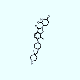 O=C1CCC(N2Cc3c(ccc(N4CCN(CC5(F)CCNCC5)CC4)c3F)C2=O)C(=O)N1